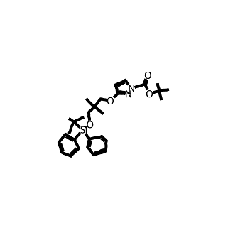 CC(C)(COc1ccn(C(=O)OC(C)(C)C)n1)CO[Si](c1ccccc1)(c1ccccc1)C(C)(C)C